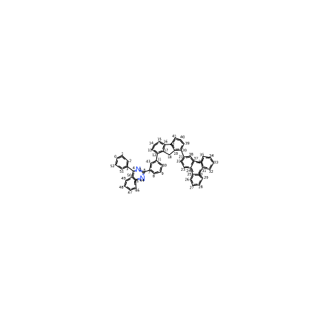 c1ccc(-c2nc(-c3cccc(-c4cccc5c4Cc4c(-c6ccc7c8ccccc8c8ccccc8c7c6)cccc4-5)c3)nc3ccccc23)cc1